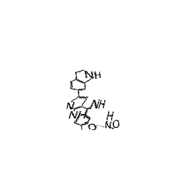 Cc1ccc(C(=N)c2cc(-c3ccc4c(c3)CNCC4)cnc2N)cc1OCCNC=O